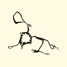 CCC(=Cc1cnc(Cl)nc1NC1CCCC1)C(=O)O